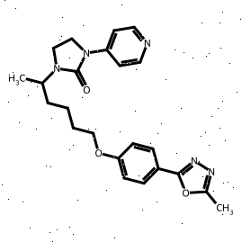 Cc1nnc(-c2ccc(OCCCCC(C)N3CCN(c4ccncc4)C3=O)cc2)o1